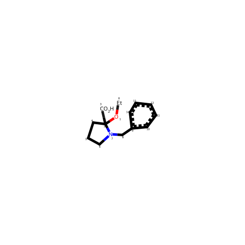 CCOC1(C(=O)O)CCCN1Cc1ccccc1